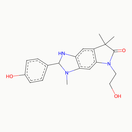 CN1c2cc3c(cc2NC1c1ccc(O)cc1)C(C)(C)C(=O)N3CCO